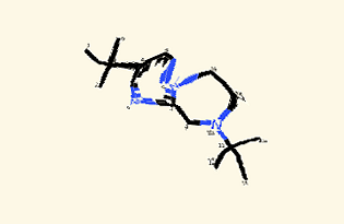 CC(C)(C)c1cn2c(n1)CN(C(C)(C)C)CC2